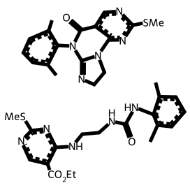 CCOC(=O)c1cnc(SC)nc1NCCNC(=O)Nc1c(C)cccc1C.CSc1ncc2c(n1)N1CCN=C1N(c1c(C)cccc1C)C2=O